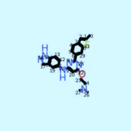 Cc1cc2ccc(-c3nc(Nc4ccc5[nH]ncc5c4)cc(OCCN(C)C)n3)cc2s1